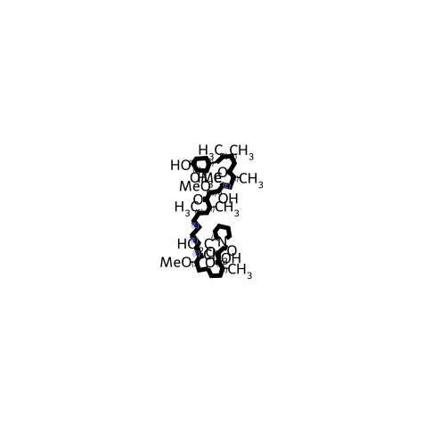 CO[C@@H](CC1CC[C@@H](C)[C@](O)(C(=O)C(=O)N2CCCC[C@H]2C(=O)O)O1)/C(C)=C/C=C/C=C/[C@@H](C)C[C@@H](C)C(=O)[C@H](OC)[C@H](O)/C(C)=C/[C@@H](C)C(=O)C[C@H](C)[C@H](C)C[C@@H]1CC[C@@H](O)[C@H](OC)C1